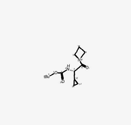 CC(C)(C)OC(=O)N[C@H](C(=O)N1CCC1)C1CC1